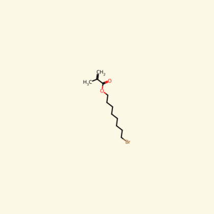 C=C(C)C(=O)OCCCCCCCCBr